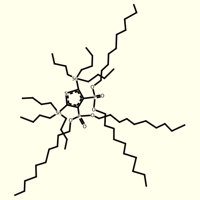 CCCCCCCCCCOP(=O)(OCCCCCCCCCC)c1[c]([Sn]([CH2]CCC)([CH2]CCC)[CH2]CCC)s[c]([Sn]([CH2]CCC)([CH2]CCC)[CH2]CCC)c1P(=O)(OCCCCCCCCCC)OCCCCCCCCCC